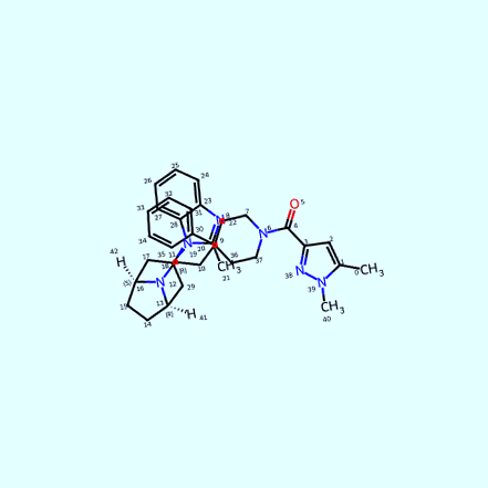 Cc1cc(C(=O)N2CCC(CCN3[C@@H]4CC[C@H]3C[C@@H](n3c(C)nc5ccccc53)C4)(c3ccccc3)CC2)nn1C